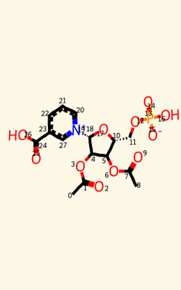 CC(=O)OC1C(OC(C)=O)[C@@H](COP(=O)([O-])O)O[C@H]1[n+]1cccc(C(=O)O)c1